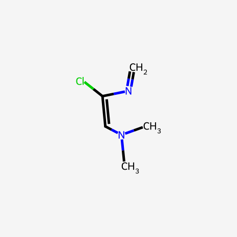 C=N/C(Cl)=C\N(C)C